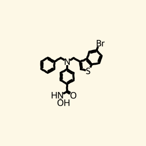 O=C(NO)c1ccc(N(Cc2ccccc2)Cc2csc3ccc(Br)cc23)cc1